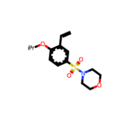 C=Cc1cc(S(=O)(=O)N2CCOCC2)ccc1OC(C)C